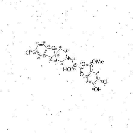 COC(=O)c1cc(Cl)c(O)cc1OC[C@H](O)CN1CCC2(CC1)Cc1cc(Cl)ccc1O2